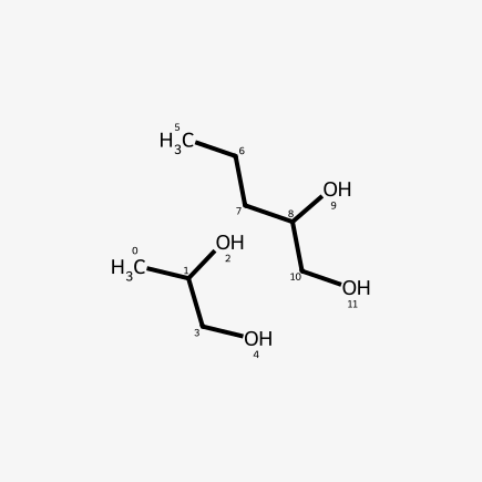 CC(O)CO.CCCC(O)CO